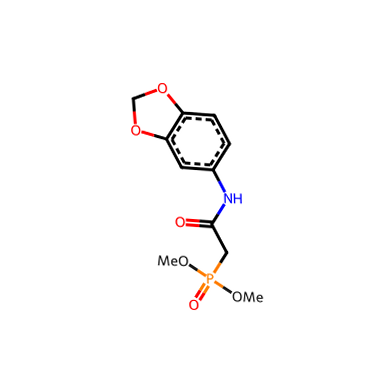 COP(=O)(CC(=O)Nc1ccc2c(c1)OCO2)OC